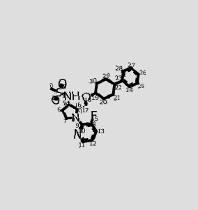 CS(=O)(=O)N[C@H]1CCN(c2ncccc2F)[C@H]1COC1CCC(c2ccccc2)CC1